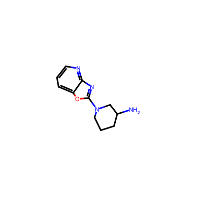 NC1CCCN(c2nc3ncccc3o2)C1